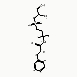 CC(C)(CCS(=O)(=O)CC(O)CO)NC(=O)OCc1ccccc1